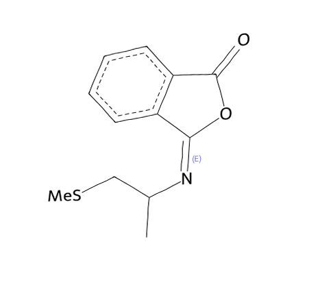 CSCC(C)/N=C1/OC(=O)c2ccccc21